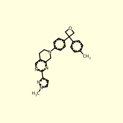 Cc1ccc(C2(c3ccc(N4CCc5cnc(-c6ccn(C)n6)nc5C4)cc3)COC2)cc1